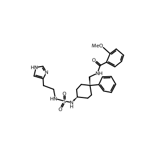 COc1ccccc1C(=O)NC[C@]1(c2ccccc2)CC[C@H](NS(=O)(=O)NCCc2c[nH]cn2)CC1